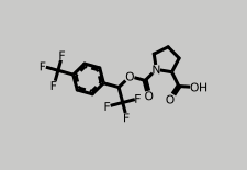 O=C(O)C1CCCN1C(=O)OC(c1ccc(C(F)(F)F)cc1)C(F)(F)F